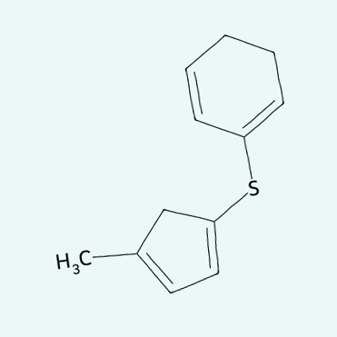 CC1=CC=C(SC2=CCCC=C2)C1